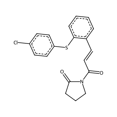 O=C(C=Cc1ccccc1Sc1ccc(Cl)cc1)N1CCCC1=O